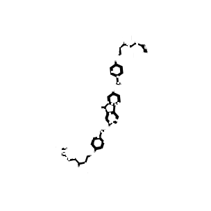 CC(CCOc1ccc(C(=O)Oc2ccc3c(c2)C(C)c2cc(OC(=O)c4ccc(OCCC(C)CCC5OC5(C)C)cc4)ccc2-3)cc1)CCC1OC1(C)C